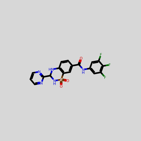 O=C(Nc1cc(F)c(F)c(F)c1)c1ccc2c(c1)S(=O)(=O)NC(c1ncccn1)N2